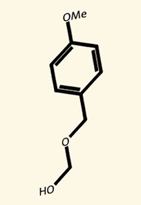 COc1ccc(COCO)cc1